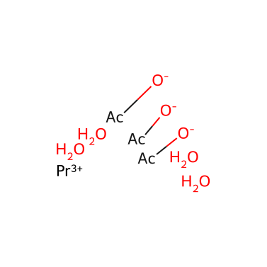 CC(=O)[O-].CC(=O)[O-].CC(=O)[O-].O.O.O.O.[Pr+3]